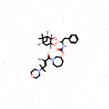 CC1(C)[C@@H]2C[C@H]3OB(C(Cc4ccccc4)NC(=O)O[C@@H]4CCCCN(C(=O)C(C#N)=CC(C)(C)N5CCOCC5)C4)O[C@@]3(C)[C@H]1C2